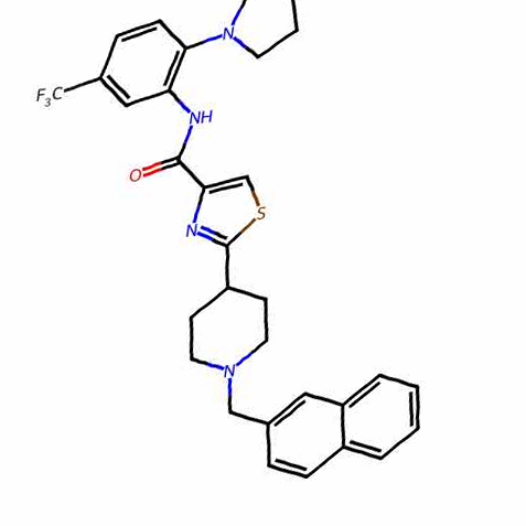 O=C(Nc1cc(C(F)(F)F)ccc1N1CCCC1)c1csc(C2CCN(Cc3ccc4ccccc4c3)CC2)n1